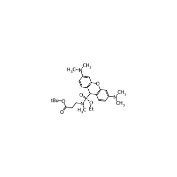 CCOP(=O)(C1c2ccc(N(C)C)cc2Oc2cc(N(C)C)ccc21)N(C)CCC(=O)OC(C)(C)C